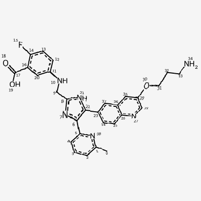 Cc1cccc(-c2nc(CNc3ccc(F)c(C(=O)O)c3)[nH]c2-c2ccc3ncc(OCCCN)cc3c2)n1